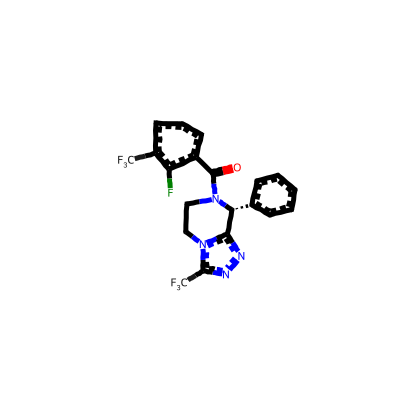 O=C(c1cccc(C(F)(F)F)c1F)N1CCn2c(nnc2C(F)(F)F)[C@H]1c1ccccc1